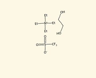 CC[N+](CC)(CC)CC.O=S(=O)([O-])C(F)(F)F.OCCO